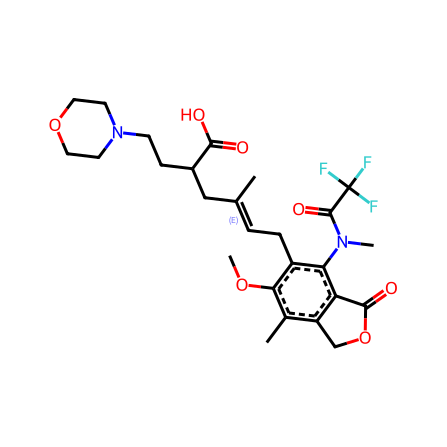 COc1c(C)c2c(c(N(C)C(=O)C(F)(F)F)c1C/C=C(\C)CC(CCN1CCOCC1)C(=O)O)C(=O)OC2